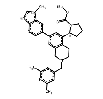 Cc1cc(CN2CCc3c(cc(-c4cnc5[nH]cc(C)c5c4)cc3[C@@H]3CCCN3C(=O)OC(C)(C)C)C2)cc(C)n1